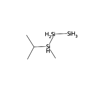 CC(C)[SiH](C)[SiH2][SiH3]